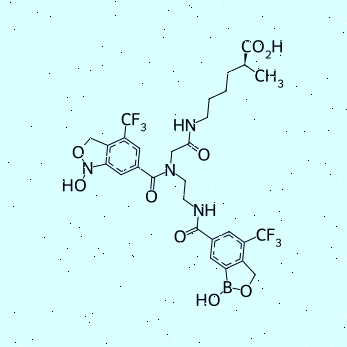 C[C@@H](CCCCNC(=O)CN(CCNC(=O)c1cc2c(c(C(F)(F)F)c1)COB2O)C(=O)c1cc2c(c(C(F)(F)F)c1)CON2O)C(=O)O